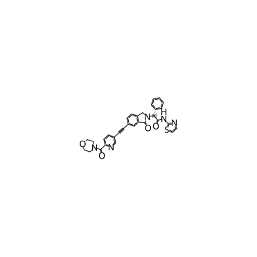 O=C(Nc1nccs1)[C@@H](c1ccccc1)N1Cc2ccc(C#Cc3ccc(C(=O)N4CCOCC4)nc3)cc2C1=O